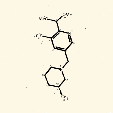 COC(OC)c1ncc(CN2CCC[C@H](C)C2)cc1C(F)(F)F